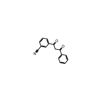 N#Cc1cccc(C(=O)CC(=O)c2ccccc2)c1